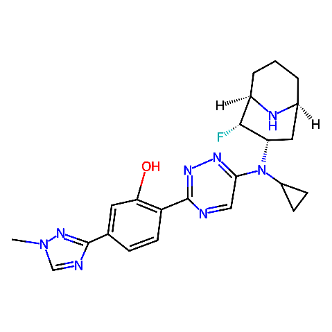 Cn1cnc(-c2ccc(-c3ncc(N(C4CC4)[C@H]4C[C@@H]5CCC[C@@H](N5)[C@H]4F)nn3)c(O)c2)n1